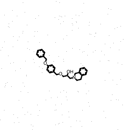 OC(COCc1ccc(OCc2ccccc2)cc1)CN1CCc2ccccc2C1